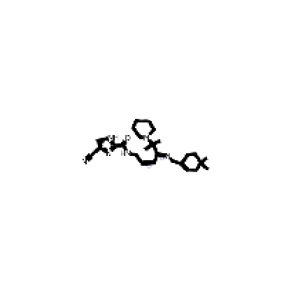 CC1(C)CC=C(C/N=C(\C=C/CNC(=O)c2nc(C#N)c[nH]2)C(C)(C)N2CCCCC2)CC1